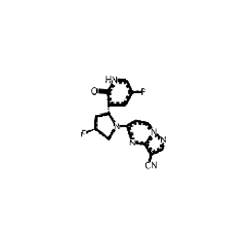 N#Cc1cnn2ccc(N3C[C@@H](F)C[C@@H]3c3cc(F)c[nH]c3=O)nc12